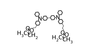 C=C(C)C(=O)OCCCc1ccc(N(c2ccccc2)c2ccc(-c3ccc(N(c4ccccc4)c4ccc(CCOC(=O)C(=C)C)cc4)cc3)cc2)cc1